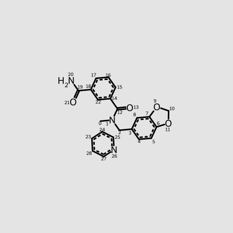 CN(Cc1ccc2c(c1)OCO2)C(=O)c1cccc(C(N)=O)c1.c1ccncc1